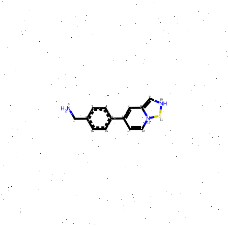 NCc1ccc(C2=CC3=CNSN3C=C2)cc1